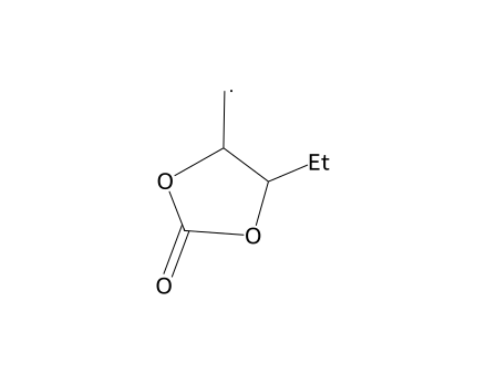 [CH2]C1OC(=O)OC1CC